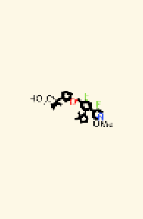 COc1cc(-c2cc(F)c(COc3cccc([C@@H](CC(=O)O)C4(C)CC4)c3)cc2[C@H]2CCCC2(C)C)c(F)cn1